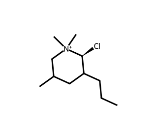 CCCC1CC(C)C[N+](C)(C)[C@H]1Cl